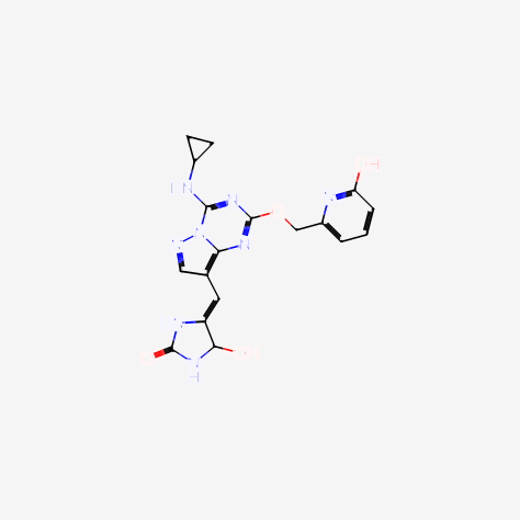 O=C1N/C(=C\c2cnn3c(NC4CC4)nc(OCc4cccc(O)n4)nc23)C(O)N1